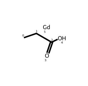 CCC(=O)O.[Gd]